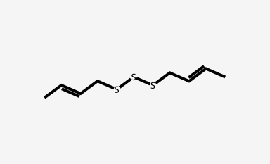 CC=CCSSSCC=CC